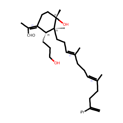 C=C(CC/C(C)=C/CC/C(C)=C/CC[C@@]1(C)[C@H](CCCO)/C(=C(/C)C=O)CC[C@]1(C)O)C(C)C